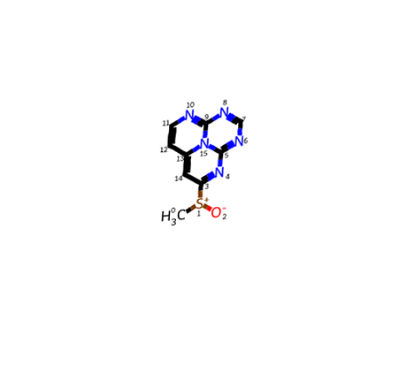 C[S+]([O-])C1=NC2=NC=NC3=NC=CC(=C1)N32